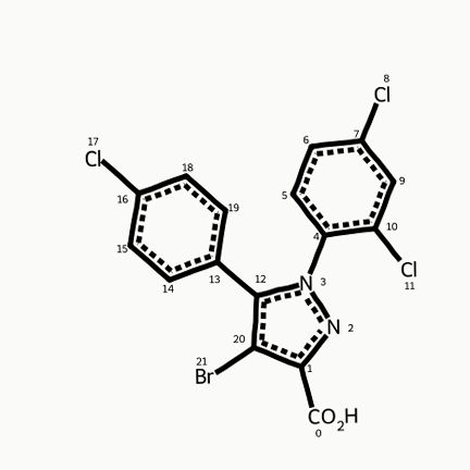 O=C(O)c1nn(-c2ccc(Cl)cc2Cl)c(-c2ccc(Cl)cc2)c1Br